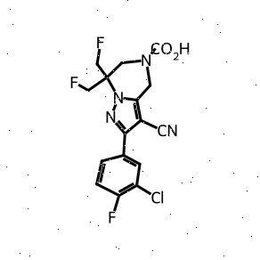 N#Cc1c(-c2ccc(F)c(Cl)c2)nn2c1CN(C(=O)O)CC2(CF)CF